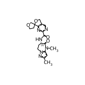 Cc1cc2n(n1)CC[C@H](NC(=O)c1ncc3c(n1)C1(CCOC1)OC3)C(=O)N2C